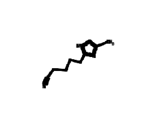 Cc1c[nH]c(CCCCC#N)n1